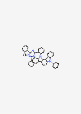 N#Cc1ccccc1-c1nc(-c2ccccc2)nc(-c2ccccc2-n2c3ccccc3c3ccc4c(c5ccccc5n4-c4ccccc4)c32)n1